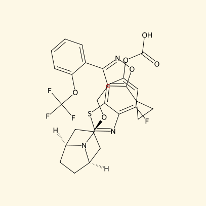 O=C(O)Oc1cc(F)c2nc(N3[C@@H]4CC[C@H]3C[C@@H](OCc3c(-c5ccccc5OC(F)(F)F)noc3C3CC3)C4)sc2c1